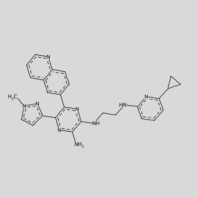 Cn1ccc(-c2nc(N)c(NCCNc3cccc(C4CC4)n3)nc2-c2ccc3ncccc3c2)n1